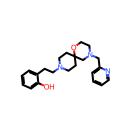 Oc1ccccc1CCN1CCC2(CC1)CN(Cc1ccccn1)CCO2